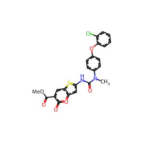 COC(=O)c1cc2sc(NC(=O)N(C)c3ccc(Oc4ccccc4Cl)cc3)cc2oc1=O